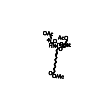 CCCCCC(NC(=O)CN(C)CCOC(C)=O)C(C/C=C/CCCCCCCC(=O)OC)OC(=O)CN(C)CCOC(C)=O